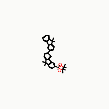 CC1(C)c2ccccc2-c2cc(-c3ccc4c(c3)-c3cc(B5OC(C)(C)C(C)(C)O5)ccc3C4(C)C)ccc21